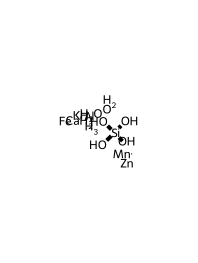 O.O.O[Si](O)(O)O.[AlH3].[CaH2].[Fe].[KH].[Mn].[Zn]